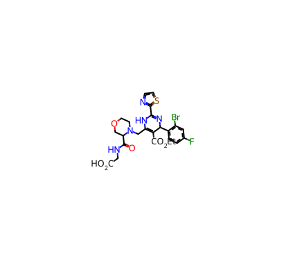 CCOC(=O)C1=C(CN2CCOCC2C(=O)NCC(=O)O)NC(c2nccs2)=NC1c1ccc(F)cc1Br